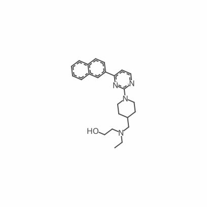 CCN(CCO)CC1CCN(c2nccc(-c3ccc4ccccc4c3)n2)CC1